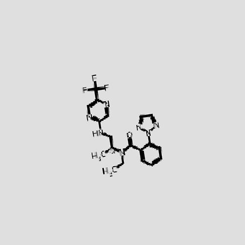 CCN(C(=O)c1ccccc1-n1nccn1)[C@@H](C)CNc1cnc(C(F)(F)F)cn1